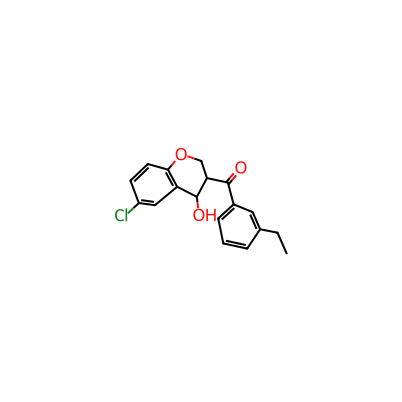 CCc1cccc(C(=O)C2COc3ccc(Cl)cc3C2O)c1